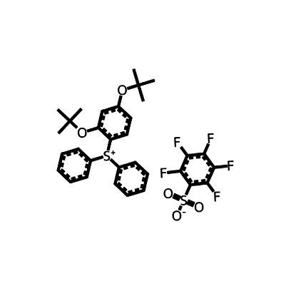 CC(C)(C)Oc1ccc([S+](c2ccccc2)c2ccccc2)c(OC(C)(C)C)c1.O=S(=O)([O-])c1c(F)c(F)c(F)c(F)c1F